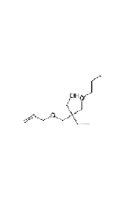 C=CCOCC(CC)(CO)CO[CH]CC